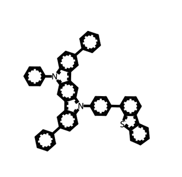 c1ccc(-c2ccc3c(c2)c2cc4c(cc2n3-c2ccccc2)c2cc(-c3ccccc3)ccc2n4-c2ccc(-c3cccc4c3sc3ccccc34)cc2)cc1